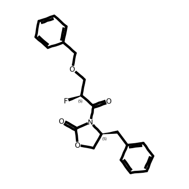 O=C1OC[C@H](Cc2ccccc2)N1C(=O)[C@@H](F)COCc1ccccc1